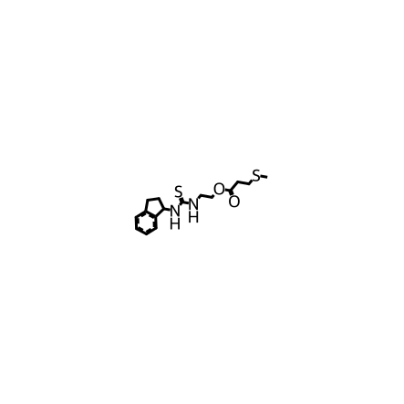 CSCCC(=O)OCCNC(=S)NC1CCc2ccccc21